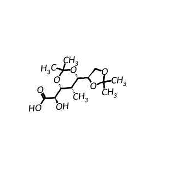 C[C@@H]1[C@H]([C@@H](O)C(=O)O)OC(C)(C)O[C@@H]1[C@H]1COC(C)(C)O1